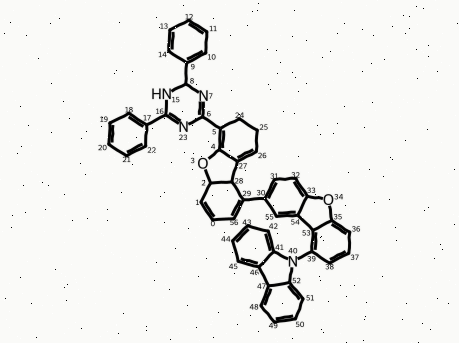 C1=CC2OC3=C(C4=NC(c5ccccc5)NC(c5ccccc5)=N4)CCC=C3C2C(c2ccc3oc4cccc(-n5c6ccccc6c6ccccc65)c4c3c2)=C1